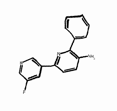 Nc1ccc(-c2cncc(F)c2)nc1-c1ccccc1